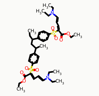 CCOC(=O)/C(=C/C=C/N(CC)CC)S(=O)(=O)c1ccc(C(C)CC(CC)c2ccc(S(=O)(=O)/C(=C\C=C\N(CC)CC)C(=O)OCC)cc2)cc1